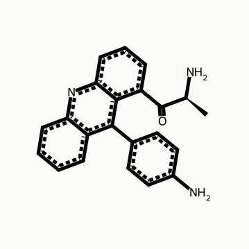 C[C@H](N)C(=O)c1cccc2nc3ccccc3c(-c3ccc(N)cc3)c12